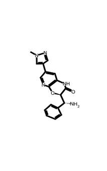 Cn1cc(-c2cnc3c(c2)NC(=O)[C@@H]([C@H](N)c2ccccc2)O3)cn1